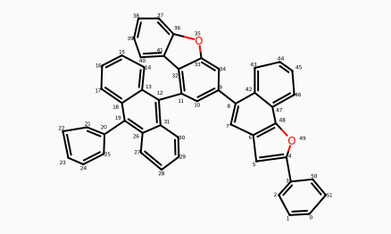 c1ccc(-c2cc3cc(-c4cc(-c5c6ccccc6c(-c6ccccc6)c6ccccc56)c5c(c4)oc4ccccc45)c4ccccc4c3o2)cc1